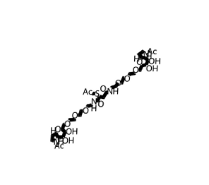 CC(=O)CSC(CC(=O)NCCOCCOCCOCC1O[C@H]2CCN(C(C)=O)[C@H]2C(O)C1O)C(=O)NCCOCCOCCOCC1O[C@H]2CCN(C(C)=O)[C@H]2C(O)C1O